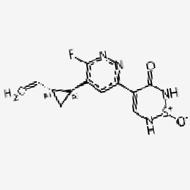 C=C[C@H]1C[C@@H]1c1cc(C2=CN[S+]([O-])NC2=O)nnc1F